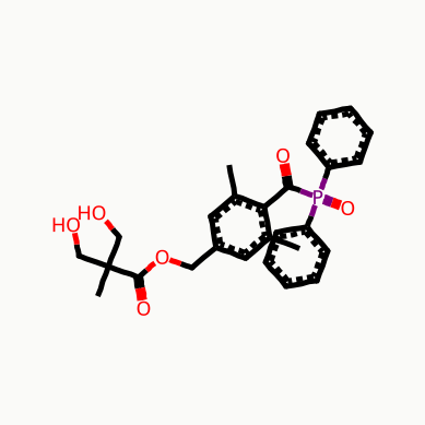 Cc1cc(COC(=O)C(C)(CO)CO)cc(C)c1C(=O)P(=O)(c1ccccc1)c1ccccc1